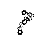 CC1(c2ccc(Oc3nc4ccccc4o3)cc2)OC(=O)N(Nc2ccccc2)C1=O